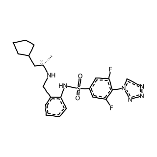 C[C@@H](CC1CCCC1)NCc1ccccc1NS(=O)(=O)c1cc(F)c(-n2cnnn2)c(F)c1